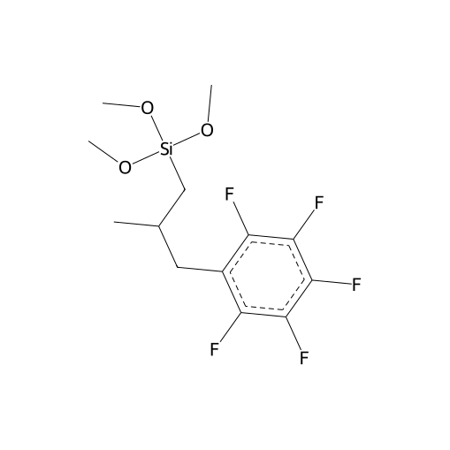 CO[Si](CC(C)Cc1c(F)c(F)c(F)c(F)c1F)(OC)OC